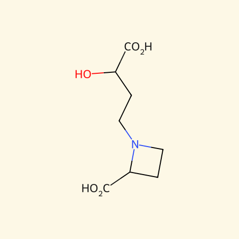 O=C(O)C(O)CCN1CCC1C(=O)O